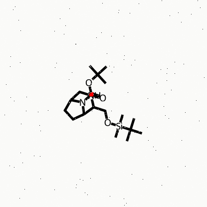 CC(C)(C)OC(=O)N1C2CCC1C(CO[Si](C)(C)C(C)(C)C)NC2